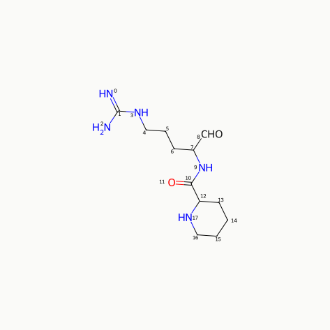 N=C(N)NCCCC(C=O)NC(=O)C1CCCCN1